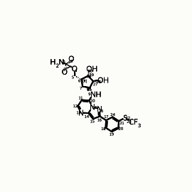 NS(=O)(=O)OC[C@H]1C[C@@H](Nc2ccnc3cc(-c4cccc(SC(F)(F)F)c4)nn23)C(O)[C@H]1O